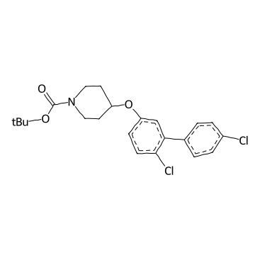 CC(C)(C)OC(=O)N1CCC(Oc2ccc(Cl)c(-c3ccc(Cl)cc3)c2)CC1